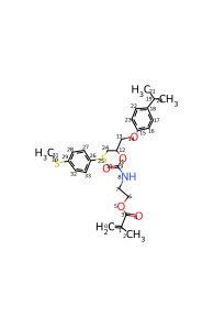 C=C(C)C(=O)OCCNC(=O)OC(COc1ccc(C(C)C)cc1)CSc1ccc(SC)cc1